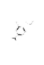 CCOc1c(F)cc(C(C)=O)cc1Br